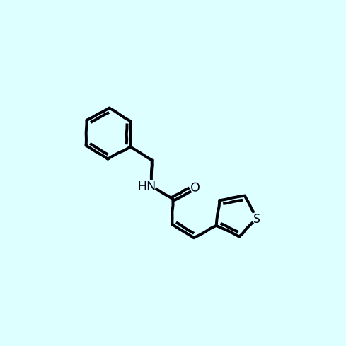 O=C(/C=C\c1ccsc1)NCc1ccccc1